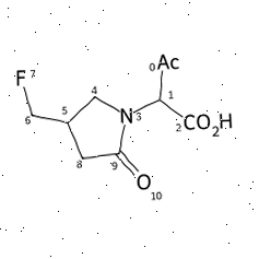 CC(=O)C(C(=O)O)N1CC(CF)CC1=O